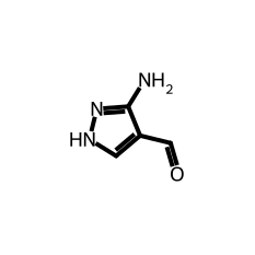 Nc1n[nH]cc1C=O